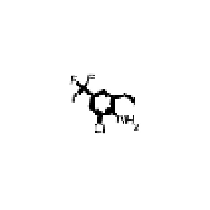 Nc1c(Cl)cc(C(F)(F)F)cc1CI